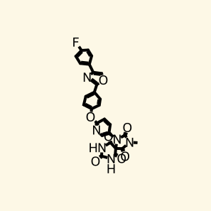 CN1C(=O)N(c2ccc(Oc3ccc(-c4nc(-c5ccc(F)cc5)co4)cc3)nc2)C2(C(=O)NC(=O)NC2=O)C1=O